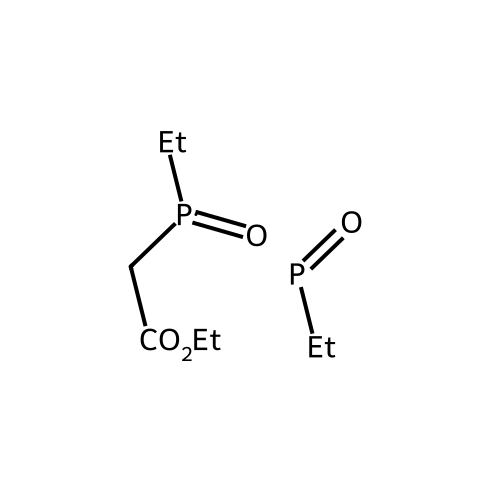 CCOC(=O)C[P](=O)CC.CCP=O